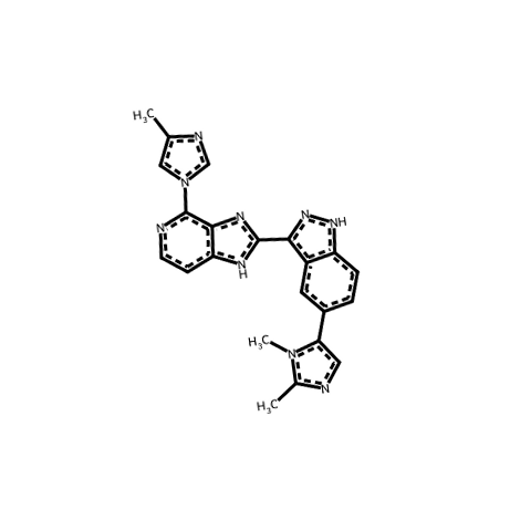 Cc1cn(-c2nccc3[nH]c(-c4n[nH]c5ccc(-c6cnc(C)n6C)cc45)nc23)cn1